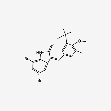 COc1c(I)cc(C=C2C(=O)Nc3c(Br)cc(Br)cc32)cc1C(C)(C)C